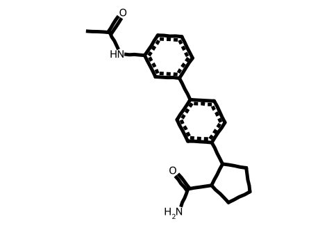 CC(=O)Nc1cccc(-c2ccc(C3CCCC3C(N)=O)cc2)c1